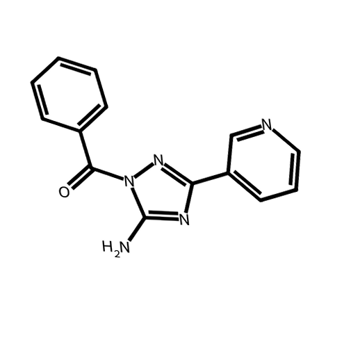 Nc1nc(-c2cccnc2)nn1C(=O)c1ccccc1